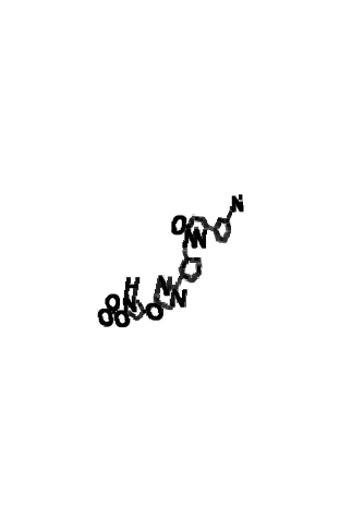 COC(=O)O[C@H]1C[C@H](Oc2cnc(-c3cccc(Cn4nc(-c5cccc(C#N)c5)ccc4=O)c3)nc2)CN1